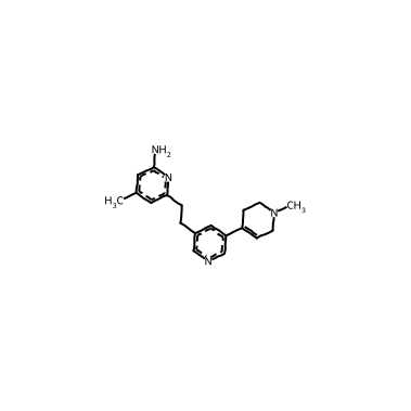 Cc1cc(N)nc(CCc2cncc(C3=CCN(C)CC3)c2)c1